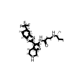 CC[C@@H](C)NCCC(=O)Nc1sc2c(c1-c1nc3cc(C(F)(F)F)ccc3s1)CCNC2